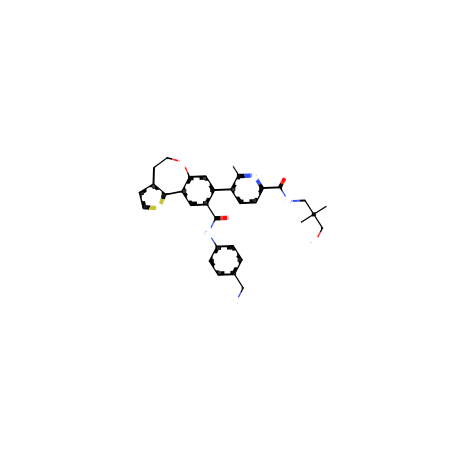 CC(C)(CO)CNC(=O)c1ccc(-c2cc3c(cc2C(=O)Nc2ccc(CN)cc2)-c2sccc2CCO3)c(C(=O)O)n1